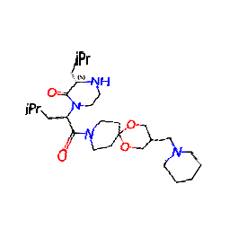 CC(C)CC(C(=O)N1CCC2(CC1)OCC(CN1CCCCC1)CO2)N1CCN[C@@H](CC(C)C)C1=O